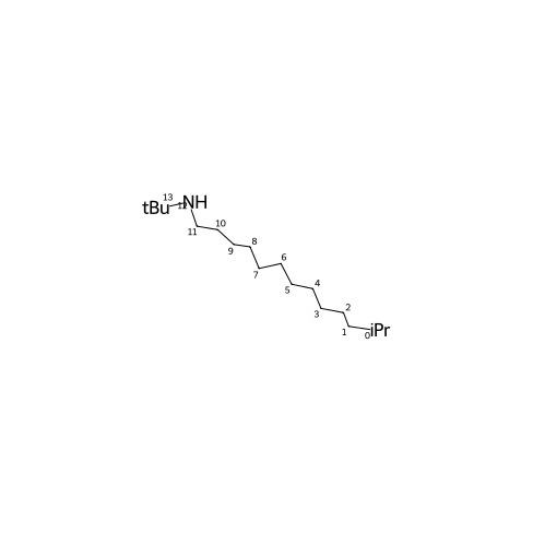 CC(C)CCCCCCCCCCCNC(C)(C)C